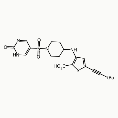 CC(C)(C)C#Cc1cc(NC2CCN(S(=O)(=O)c3cnc(=O)[nH]c3)CC2)c(C(=O)O)s1